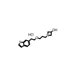 Cl.OC1CN(CCCOCCc2ccc3ccsc3c2)C1